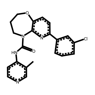 Cc1cnccc1NC(=O)N1CCCOc2ccc(-c3cccc(Cl)c3)nc21